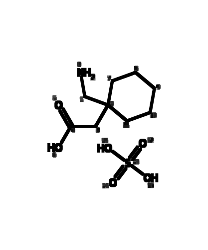 NCC1(CC(=O)O)CCCCC1.O=S(=O)(O)O